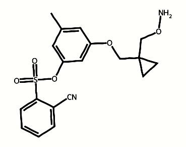 Cc1cc(OCC2(CON)CC2)cc(OS(=O)(=O)c2ccccc2C#N)c1